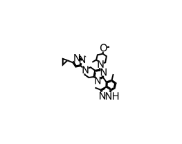 COC1CCN(c2nc(-c3c(C)ccc4[nH]nc(C)c34)nc3c2CN(c2cc(C4CC4)nn2C)CC3)C(C)C1